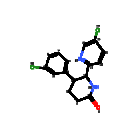 O=C1CCC(c2cccc(Cl)c2)C(c2ccc(Cl)cn2)N1